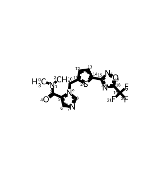 CN(C)C(=O)c1cncn1Cc1ccc(-c2noc(C(F)(F)F)n2)s1